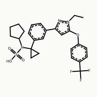 CCn1nc(-c2cccc(C3(N(C4CCCC4)S(=O)(=O)O)CC3)c2)cc1Oc1ccc(C(F)(F)F)cc1